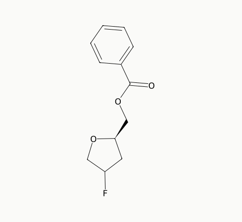 O=C(OC[C@H]1CC(F)CO1)c1ccccc1